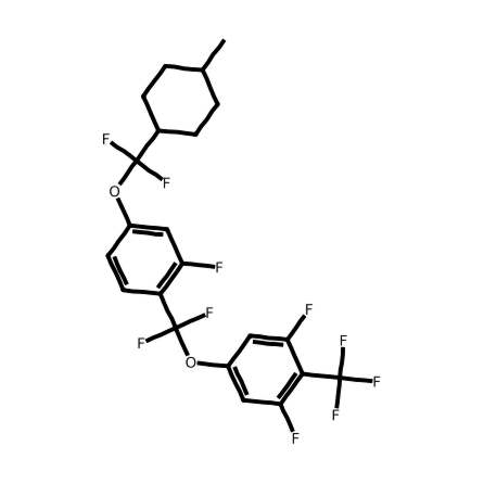 CC1CCC(C(F)(F)Oc2ccc(C(F)(F)Oc3cc(F)c(C(F)(F)F)c(F)c3)c(F)c2)CC1